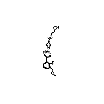 COCc1cccc(-c2cnc(N3CC(=NOCCO)C3)nc2)c1F